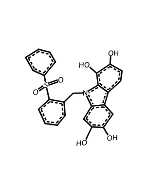 O=S(=O)(c1ccccc1)c1ccccc1Cn1c2cc(O)c(O)cc2c2ccc(O)c(O)c21